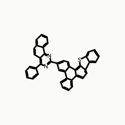 c1ccc(-c2nc(-c3ccc4c(c3)c3ccccc3c3ccc5c6ccccc6sc5c34)nc3c2ccc2ccccc23)cc1